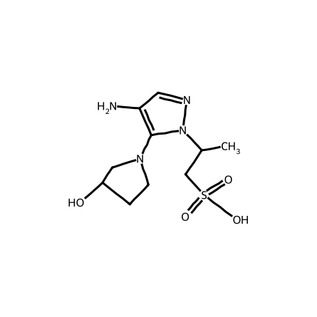 CC(CS(=O)(=O)O)n1ncc(N)c1N1CCC(O)C1